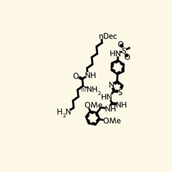 CCCCCCCCCCCCCCCCNC(=O)[C@@H](N)CCCCN.COc1cccc(OC)c1CNC(=N)Nc1nc(-c2ccc(NS(C)(=O)=O)cc2)cs1